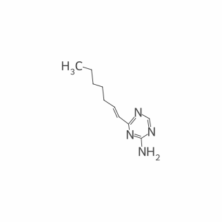 CCCCCC=Cc1ncnc(N)n1